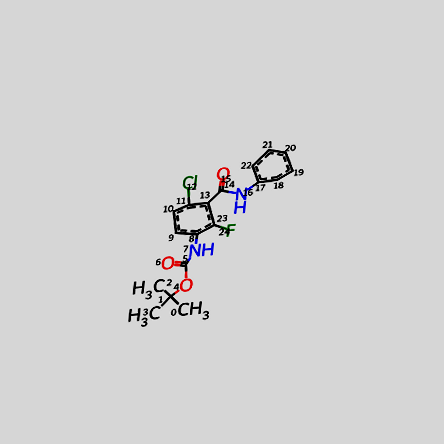 CC(C)(C)OC(=O)Nc1ccc(Cl)c(C(=O)Nc2ccccc2)c1F